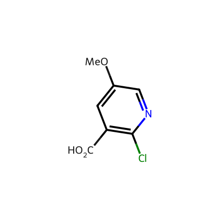 COc1cnc(Cl)c(C(=O)O)c1